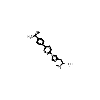 CN(C)C(Cc1cn(-c2ccc(-c3ccc(C(=N)N)cc3)nn2)cn1)C(=O)O